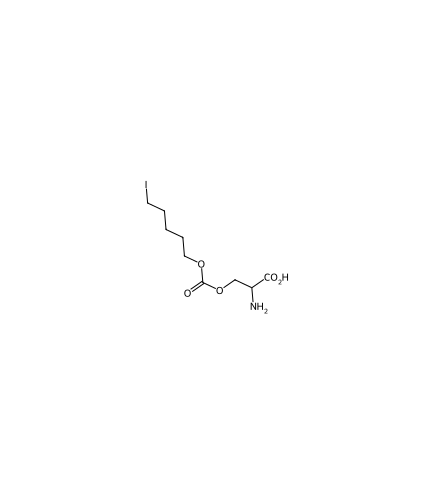 NC(COC(=O)OCCCCCI)C(=O)O